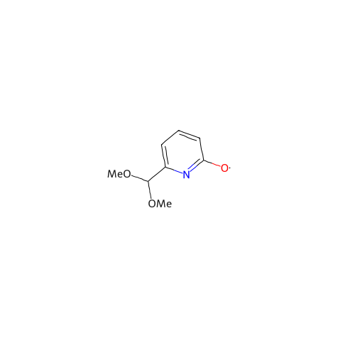 COC(OC)c1cccc([O])n1